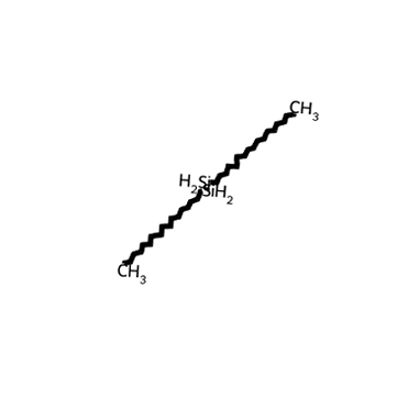 CCCCCCCCCCCCCCCCCC[SiH2][SiH2]CCCCCCCCCCCCCCCCCC